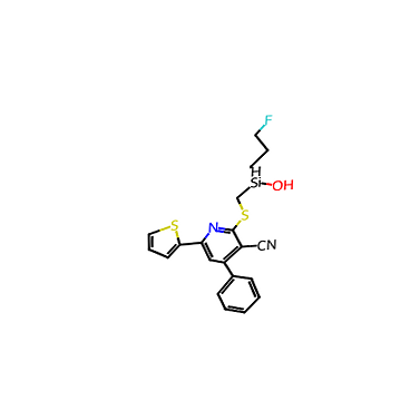 N#Cc1c(-c2ccccc2)cc(-c2cccs2)nc1SC[SiH](O)CCCF